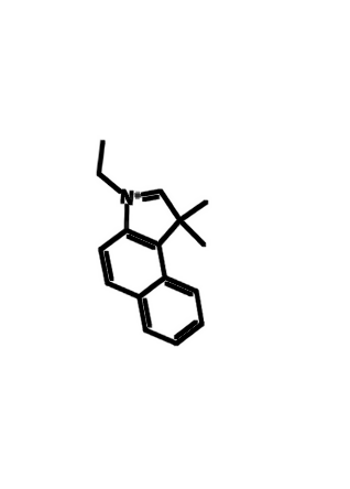 CC[N+]1=CC(C)(C)c2c1ccc1ccccc21